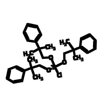 CC(C)(C[O][Ti]([Cl])([O]CC(C)(C)c1ccccc1)[O]CC(C)(C)c1ccccc1)c1ccccc1